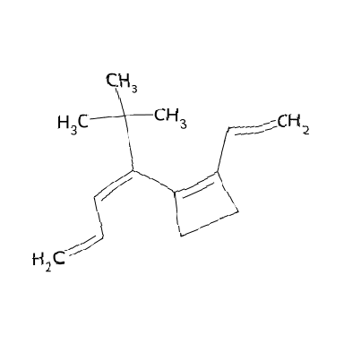 C=C/C=C(\C1=C(C=C)CC1)C(C)(C)C